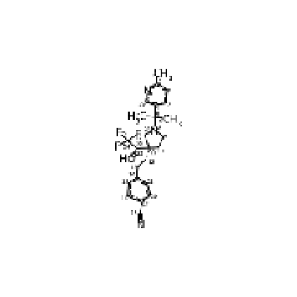 Cc1ccc(C(C)(C)N2CC[C@@](CCc3ccc(C#N)cc3)([C@@H](O)C(F)(F)F)C2)cn1